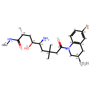 CCCCNC(=O)[C@H](C)C[C@H](O)[C@@H](N)CC(C)(C)CC(=O)N1C[C@H](C(=O)OCC)Cc2cc(Br)ccc21